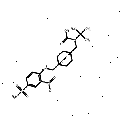 CC(C)(C)N(CC12CCC(CNc3ccc(S(N)(=O)=O)cc3[N+](=O)[O-])(CC1)CC2)C(=O)O